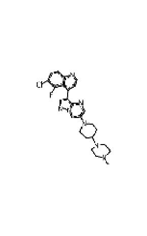 CN1CCN(C2CCN(c3cnc4c(-c5ccnc6ccc(Cl)c(F)c56)cnn4c3)CC2)CC1